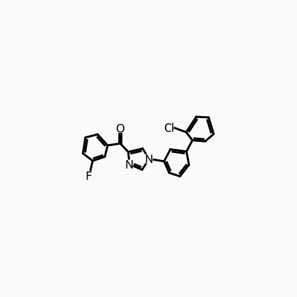 O=C(c1cccc(F)c1)c1cn(-c2cccc(-c3ccccc3Cl)c2)cn1